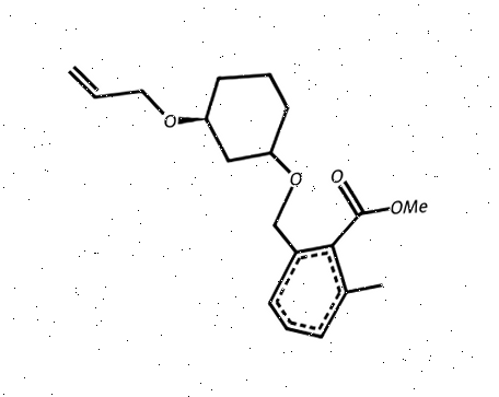 C=CCO[C@H]1CCCC(OCc2cccc(C)c2C(=O)OC)C1